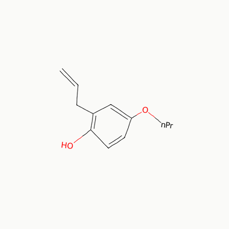 C=CCc1cc(OCCC)ccc1O